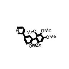 COc1ccc(-c2cccnc2)cc1-c1c(C=O)cc(OC)c(OC)c1OC